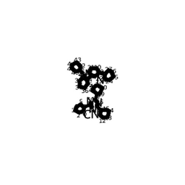 N#Cc1ccccc1-c1nc(-c2ccccc2)nc(-c2ccc(-n3c4ccccc4c4ccc5c(c6ccccc6n5-c5ccccc5)c43)cc2)n1